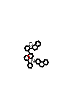 c1ccc(-c2ccccc2N(c2ccc(-c3cccc4oc5c6ccccc6ccc5c34)cc2)c2ccc3c(ccc4ccccc43)c2)cc1